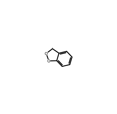 [CH]1OOc2ccccc21